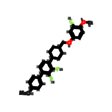 CCOc1ccc(OCC2CCC(c3ccc(-c4ccc(OC)cc4)c(F)c3F)CC2)cc1F